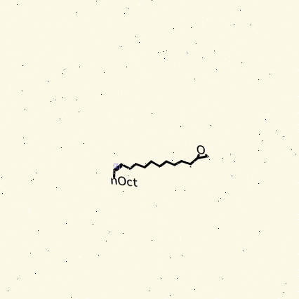 CCCCCCCC/C=C\CCCCCCCC[CH]C1CO1